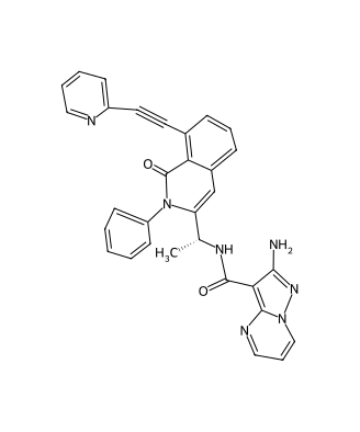 C[C@@H](NC(=O)c1c(N)nn2cccnc12)c1cc2cccc(C#Cc3ccccn3)c2c(=O)n1-c1ccccc1